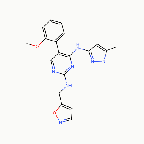 COc1ccccc1-c1cnc(NCc2ccno2)nc1Nc1cc(C)[nH]n1